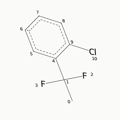 CC(F)(F)c1c[c]ccc1Cl